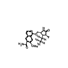 [2H]C([2H])([2H])C([2H])([2H])[C@@H]1[C@H](F)C(=O)N[C@@H]1COc1nccc2cc(C(N)=O)c(OC)cc12